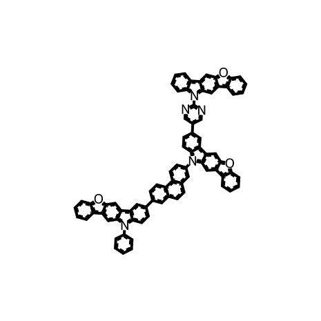 c1ccc(-n2c3ccc(-c4ccc5c(ccc6cc(-n7c8ccc(-c9cnc(-n%10c%11ccccc%11c%11cc%12oc%13ccccc%13c%12cc%11%10)nc9)cc8c8cc9oc%10ccccc%10c9cc87)ccc65)c4)cc3c3cc4oc5ccccc5c4cc32)cc1